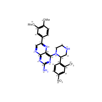 COc1ccc(-c2cnc3nc(N)nc(N4CCNCC4c4ccc([N+](=O)[O-])cc4C(F)(F)F)c3n2)cc1OC